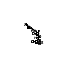 CCS(=O)(=O)c1ccc(Cl)cc1CNC(=O)c1cc(F)c(CNCCCNCCCN(C)C)c(Cl)c1